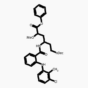 CCCCCCCCCCCCC(CC(OC)C(=O)Oc1ccccc1)NC(=O)c1ccccc1Nc1cccc(Cl)c1C